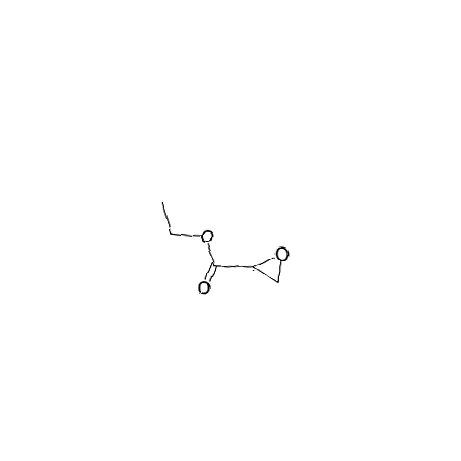 CCOC(=O)[C]1CO1